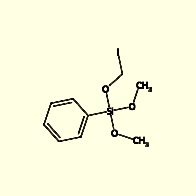 CO[Si](OC)(OCI)c1ccccc1